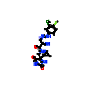 N=C(/C=N\Nc1ccc(F)c(Cl)c1)C(=O)NC[C@@]1(C2CC2)NC(=O)NC1=O